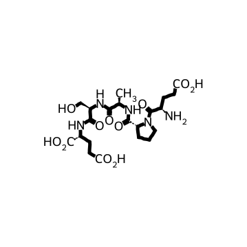 C[C@@H](NC(=O)[C@H]1CCCN1C(=O)[C@@H](N)CCC(=O)O)C(=O)N[C@H](CO)C(=O)N[C@H](CCC(=O)O)C(=O)O